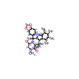 [2H]c1c([2H])c([2H])c2c3c([nH]c2c1[2H])[C@@]([2H])(c1ccc2c(c1)OCO2)N1C(=O)CN(C)C(=O)[C@@]1([2H])C3([2H])[2H]